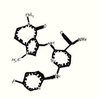 CNC(=O)c1ccc(Nc2ccc(F)cn2)nc1Nc1cn(C)c2ccn(C)c(=O)c12